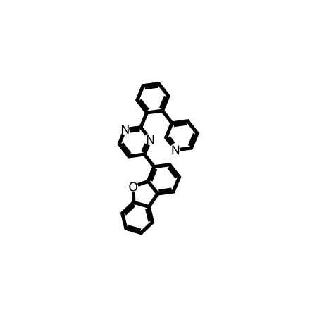 c1cncc(-c2ccccc2-c2nccc(-c3cccc4c3oc3ccccc34)n2)c1